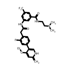 C=C1C=C(OCC)C(c2ccc(CC(=O)Nc3cc(C(=O)NCCN(C)C)cc(C(F)(F)F)c3)c(F)c2)=CN1